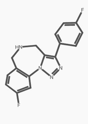 Fc1ccc(-c2nnn3c2CNCc2ccc(F)cc2-3)cc1